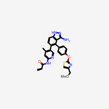 C=CC(=O)Nc1cc(C)c(-c2ccc3[nH]nc(N)c3c2-c2ccc(Oc3nc(COC)cs3)cc2)cn1